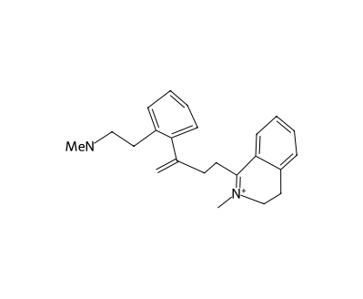 C=C(CCC1=[N+](C)CCc2ccccc21)c1ccccc1CCNC